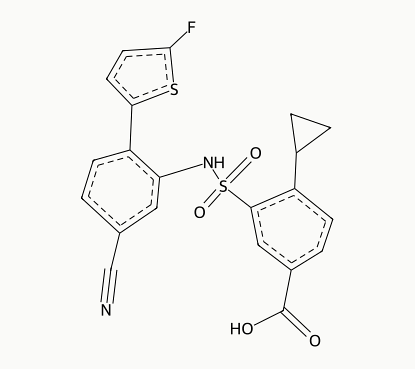 N#Cc1ccc(-c2ccc(F)s2)c(NS(=O)(=O)c2cc(C(=O)O)ccc2C2CC2)c1